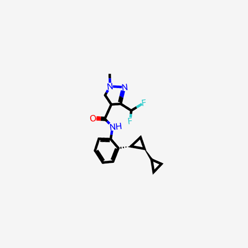 CN1CC(C(=O)Nc2ccccc2[C@@H]2C[C@H]2C2CC2)C(C(F)F)=N1